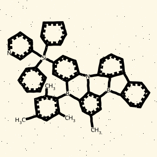 Cc1cc(C)c(B2c3cc([Si](c4ccccc4)(c4ccccc4)c4cccnc4)ccc3N3c4cccc5c4B(c4ccccc4-5)c4cc(C)cc2c43)c(C)c1